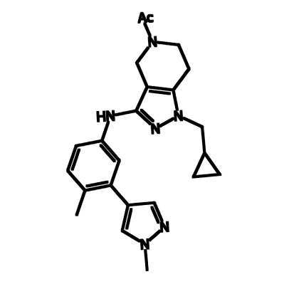 CC(=O)N1CCc2c(c(Nc3ccc(C)c(-c4cnn(C)c4)c3)nn2CC2CC2)C1